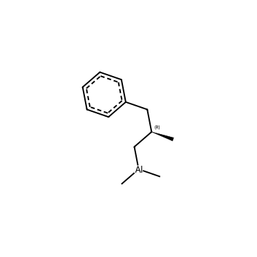 C[C@H](Cc1ccccc1)[CH2][Al]([CH3])[CH3]